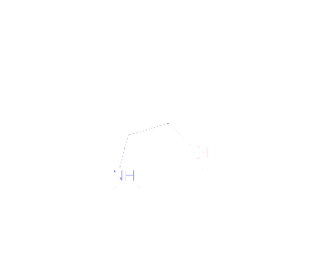 [CH2][C@H](O)CN